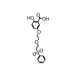 O=C(O)c1cc(OCCOCCS(=O)(=O)c2ccccc2)ccc1O